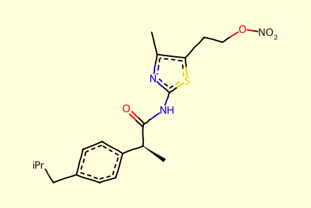 Cc1nc(NC(=O)[C@@H](C)c2ccc(CC(C)C)cc2)sc1CCO[N+](=O)[O-]